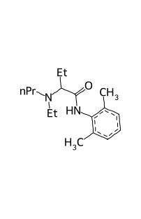 CCCN(CC)C(CC)C(=O)Nc1c(C)cccc1C